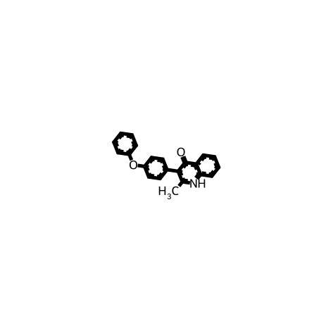 Cc1[nH]c2ccccc2c(=O)c1-c1ccc(Oc2ccccc2)cc1